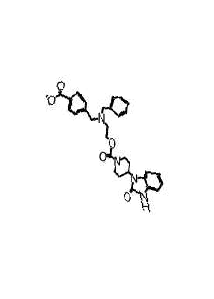 COC(=O)c1ccc(CN(CCOC(=O)N2CCC(n3c(=O)[nH]c4ccccc43)CC2)Cc2ccccc2)cc1